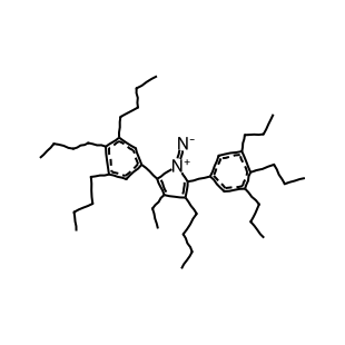 CCCCC1=C(c2cc(CCC)c(CCC)c(CCC)c2)[N+](=[N-])C(c2cc(CCCC)c(CCCC)c(CCCC)c2)=C1CC